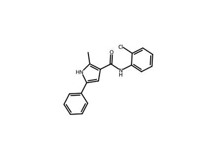 Cc1[nH]c(-c2ccccc2)cc1C(=O)Nc1ccccc1Cl